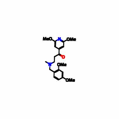 COc1ccc(CN(C)CCC(=O)c2cc(OC)nc(OC)c2)c(OC)c1